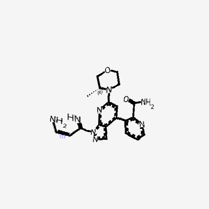 C[C@@H]1COCCN1c1cc(-c2cccnc2C(N)=O)c2cnn(C(=N)/C=C\N)c2n1